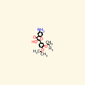 CC(C)Oc1ccc(-c2oc3ccc(N)cc3c(=O)c2O)cc1OC(C)C